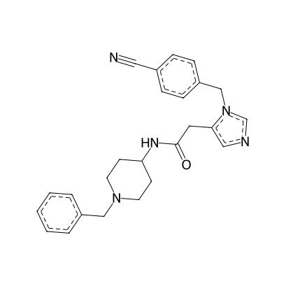 N#Cc1ccc(Cn2cncc2CC(=O)NC2CCN(Cc3ccccc3)CC2)cc1